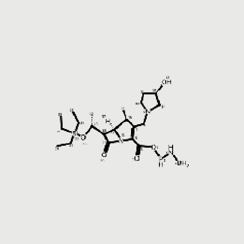 BNPOC(=O)C1=C(CN2CC[C@@H](O)C2)[C@H](C)[C@@H]2C([C@@H](C)O[Si](CC)(CC)CC)C(=O)N12